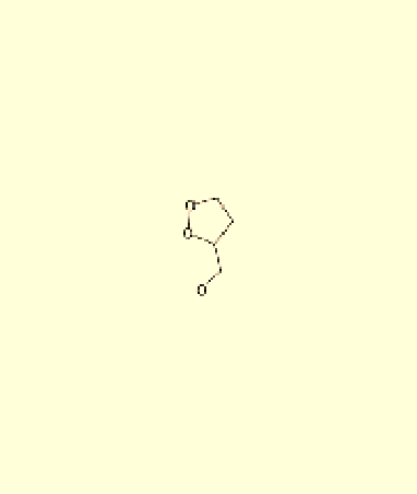 [O]CC1CCOO1